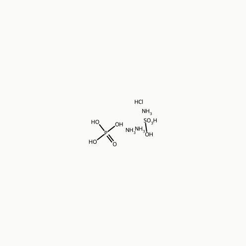 Cl.N.N.N.O=P(O)(O)O.O=S(=O)(O)O